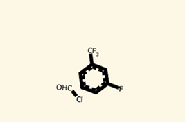 Fc1cccc(C(F)(F)F)c1.O=CCl